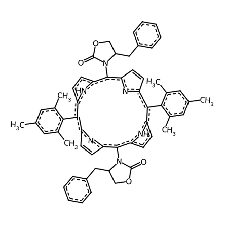 Cc1cc(C)c(-c2c3nc(c(N4C(=O)OCC4Cc4ccccc4)c4ccc([nH]4)c(-c4c(C)cc(C)cc4C)c4nc(c(N5C(=O)OCC5Cc5ccccc5)c5ccc2[nH]5)C=C4)C=C3)c(C)c1